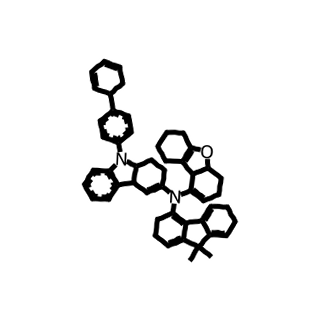 CC1(C)C2=CCCC=C2C2=C(N(C3=CC4c5ccccc5N(c5ccc(C6C=CC=CC6)cc5)C4CC3)C3=CCCC4OC5=C(CCCC5)C34)CCC=C21